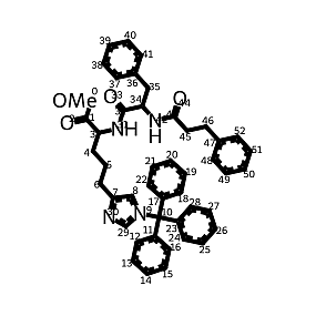 COC(=O)C(CCCc1cn(C(c2ccccc2)(c2ccccc2)c2ccccc2)cn1)NC(=O)C(Cc1ccccc1)NC(=O)CCc1ccccc1